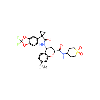 COc1ccc2c(c1)O[C@@H](C(=O)NC1CCS(=O)(=O)CC1)C[C@H]2NC(=O)C1(c2ccc3c(c2)OC(F)(F)O3)CC1